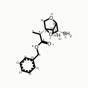 B[C@@H]1O[C@@]2(C(C)C(=O)OCc3ccccc3)COC1[C@H]2C